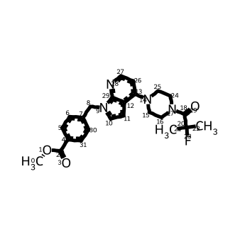 COC(=O)c1ccc(Cn2ccc3c(N4CCN(C(=O)C(C)(C)F)CC4)ccnc32)cc1